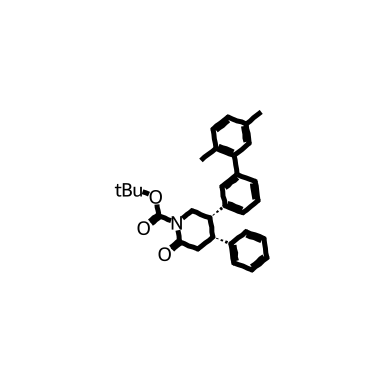 Cc1ccc(C)c(-c2cccc([C@H]3CN(C(=O)OC(C)(C)C)C(=O)C[C@H]3c3ccccc3)c2)c1